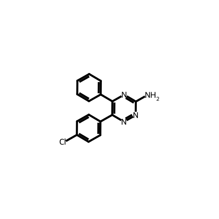 Nc1nnc(-c2ccc(Cl)cc2)c(-c2ccccc2)n1